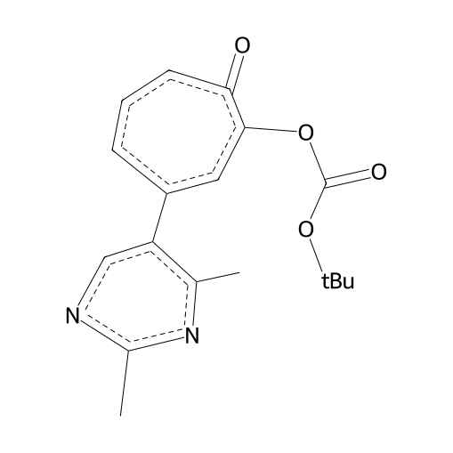 Cc1ncc(-c2cccc(=O)c(OC(=O)OC(C)(C)C)c2)c(C)n1